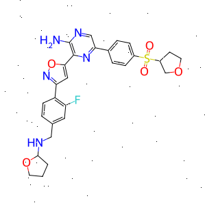 Nc1ncc(-c2ccc(S(=O)(=O)C3CCOC3)cc2)nc1-c1cc(-c2ccc(CNC3CCCO3)cc2F)no1